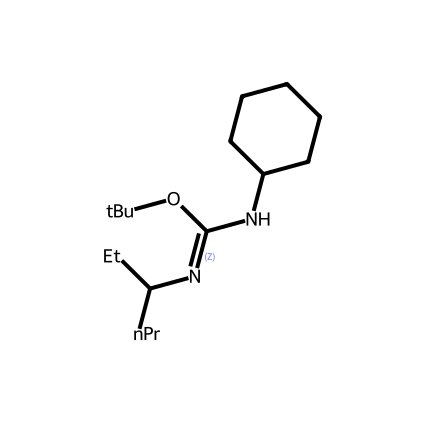 CCCC(CC)/N=C(/NC1CCCCC1)OC(C)(C)C